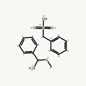 COC(N)c1ccccc1.O=S(=O)(O)Cc1ccccc1